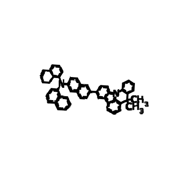 CC1(C)c2ccccc2-n2c3ccc(-c4ccc5cc(N(c6cccc7c6CCC=C7)c6cccc7ccccc67)ccc5c4)cc3c3cccc1c32